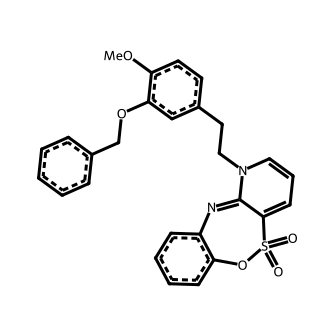 COc1ccc(CCN2C=CC=C3C2=Nc2ccccc2OS3(=O)=O)cc1OCc1ccccc1